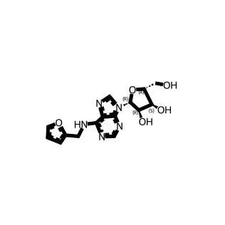 OC[C@H]1O[C@@H](n2cnc3c(NCc4ccco4)ncnc32)[C@H](O)[C@@H]1O